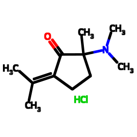 CC(C)=C1CCC(C)(N(C)C)C1=O.Cl